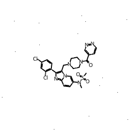 CN(c1ccc2nc(-c3ccc(Cl)cc3Cl)c(CN3CCN(C(=O)c4ccnnc4)CC3)n2c1)S(C)(=O)=O